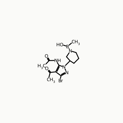 CB(O)N1CCCC(n2nc(Br)c(C(C)=O)c2NC(C)=O)C1